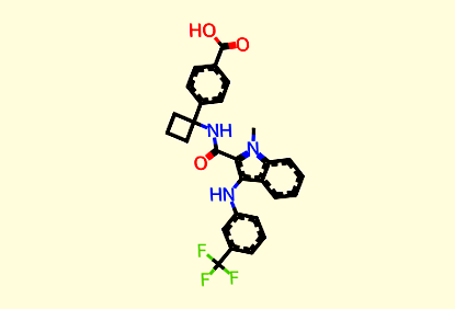 Cn1c(C(=O)NC2(c3ccc(C(=O)O)cc3)CCC2)c(Nc2cccc(C(F)(F)F)c2)c2ccccc21